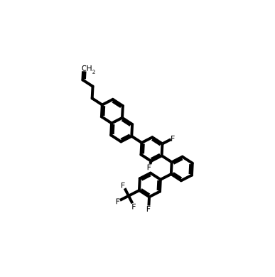 C=CCCc1ccc2cc(-c3cc(F)c(-c4ccccc4-c4ccc(C(F)(F)F)c(F)c4)c(F)c3)ccc2c1